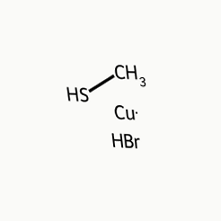 Br.CS.[Cu]